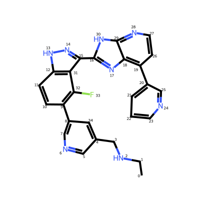 CCNCc1cncc(-c2ccc3[nH]nc(-c4nc5c(-c6cccnc6)ccnc5[nH]4)c3c2F)c1